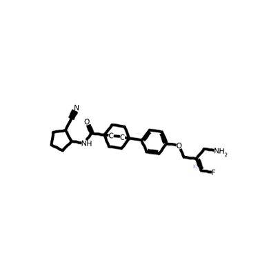 N#CC1CCCC1NC(=O)C12CCC(c3ccc(OC/C(=C/F)CN)cc3)(CC1)CC2